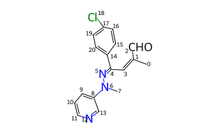 C/C(C=O)=C/C(=N\N(C)c1cccnc1)c1ccc(Cl)cc1